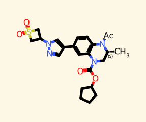 CC(=O)N1c2ccc(-c3cnn(C4CS(=O)(=O)C4)c3)cc2N(C(=O)OC2CCCC2)C[C@@H]1C